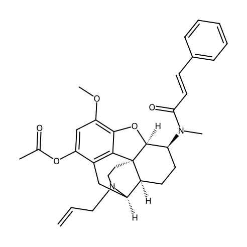 C=CCN1CC[C@]23c4c5c(OC(C)=O)cc(OC)c4O[C@H]2[C@@H](N(C)C(=O)C=Cc2ccccc2)CC[C@H]3[C@H]1C5